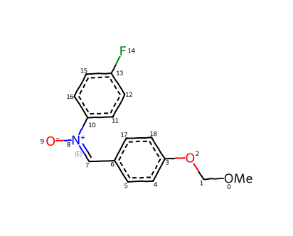 COCOc1ccc(/C=[N+](/[O-])c2ccc(F)cc2)cc1